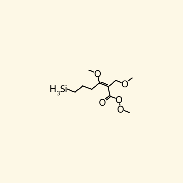 COCC(C(=O)OOC)=C(CCC[SiH3])OC